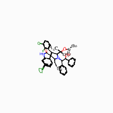 CC(C)(C)CC1N(C(c2ccccc2)C(O)c2ccccc2)C(C(C)(C)O[SiH2]C(C)(C)C)C(c2cccc(Cl)c2F)C12C(=O)Nc1cc(Cl)ccc12